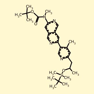 Cc1cc(CC(C)O[Si](C)(C)C(C)(C)C)ncc1-c1cc2cnc(N(C)C(=O)OC(C)(C)C)cc2cn1